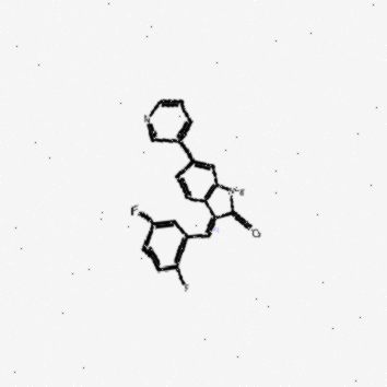 O=C1Nc2cc(-c3cccnc3)ccc2/C1=C\c1cc(F)ccc1F